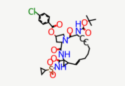 CC(C)(C)OC(=O)NC1CCCCC/C=C/C2CC2(C(=O)NS(=O)(=O)C2CC2)NC(=O)C2CC(OC(=O)c3ccc(Cl)cc3)CN2C1=O